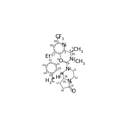 CCc1cc([C@@H](C)N(C)C(=O)N2CCN3C(=O)CC[C@H]3[C@@H]2c2ccccc2C)nc(C(F)(F)F)c1